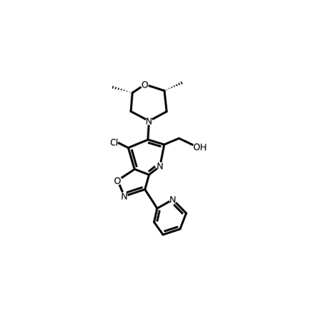 C[C@@H]1CN(c2c(CO)nc3c(-c4ccccn4)noc3c2Cl)C[C@H](C)O1